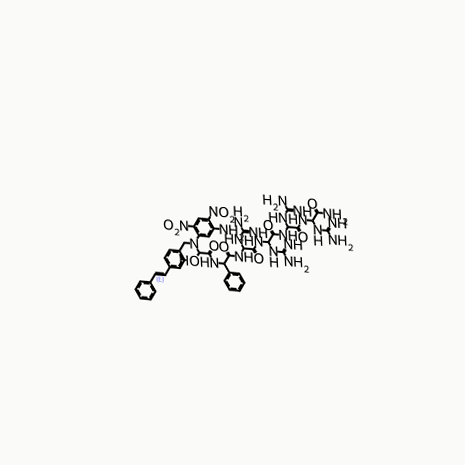 N=C(N)NC(NC(=O)C(NC(=N)N)NC(=O)C(NC(=N)N)NC(=O)C(NC(=N)N)NC(=O)C(NC(=O)C(O)N(Cc1ccc(/C=C/c2ccccc2)cc1)c1cc(N)c([N+](=O)[O-])cc1[N+](=O)[O-])c1ccccc1)C(N)=O